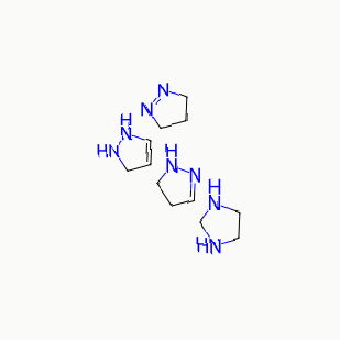 C1=CNNC1.C1=NNCC1.C1CN=NC1.C1CNCN1